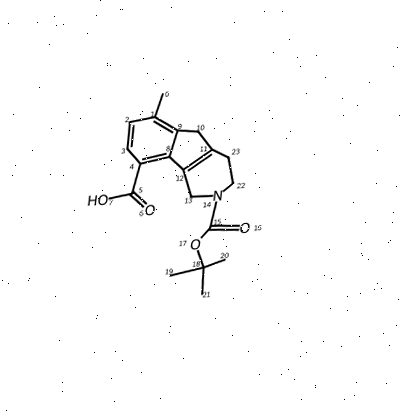 Cc1ccc(C(=O)O)c2c1CC1=C2CN(C(=O)OC(C)(C)C)CC1